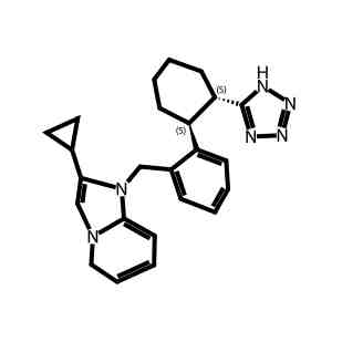 C1=CCN2C=C(C3CC3)N(Cc3ccccc3[C@H]3CCCC[C@@H]3c3nnn[nH]3)C2=C1